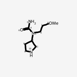 COCCN(C(N)=O)C1CCNC1